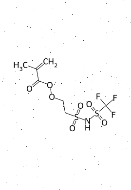 C=C(C)C(=O)OOCCS(=O)(=O)NS(=O)(=O)C(F)(F)F